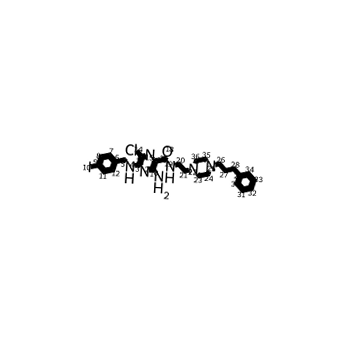 Nc1nc(NCc2ccc(I)cc2)c(Cl)nc1C(=O)NCCN1CCN(CCCc2ccccc2)CC1